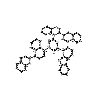 c1ccc2cc(-c3ccc4ccccc4c3-c3nc(-c4ccc(-c5ccc6ccccc6c5)c5ccccc45)nc(-c4cccc5c4oc4ccccc45)n3)ccc2c1